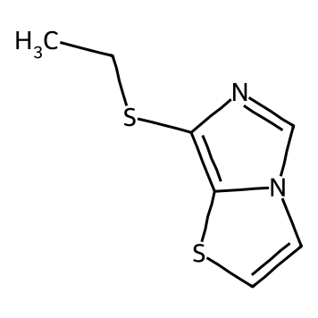 CCSc1ncn2ccsc12